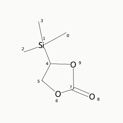 C[Si](C)(C)C1COC(=O)O1